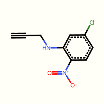 C#CCNc1cc(Cl)ccc1[N+](=O)[O-]